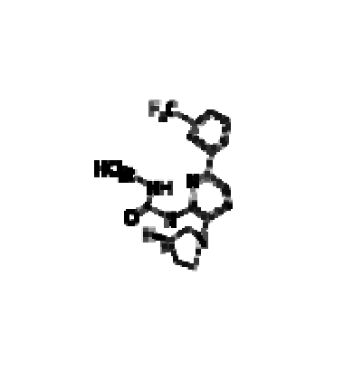 CCNC(=O)N1c2nc(-c3cccc(C(F)(F)F)c3)ccc2N2CC[C@H]1C2.Cl